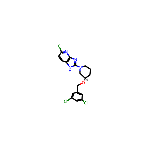 Clc1cc(Cl)cc(CO[C@H]2CCCN(c3nc4nc(Cl)ccc4[nH]3)C2)c1